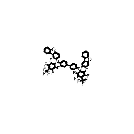 Fc1c(F)c(C(F)(F)F)c(F)c(F)c1N(c1ccc(-c2ccc(N(c3ccc4oc5ccccc5c4c3)c3c(F)c(F)c(C(F)(F)F)c(F)c3F)cc2)cc1)c1ccc2oc3ccccc3c2c1